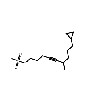 CC(C#CCCCOS(C)(=O)=O)CCCC1CC1